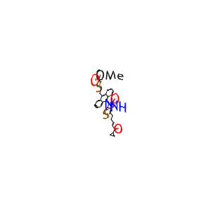 COC(=O)CSCCc1c2ccccc2c(N2C(=O)NC3C(CCCCC(=O)C4CC4)SCC32)c2ccccc12